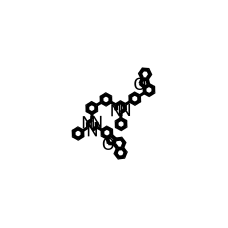 c1ccc(-c2nc(-c3ccc(-c4cccc5c4oc4ccccc45)cc3)cc(-c3cccc(-c4cccc(-c5nc(-c6ccccc6)nc(-c6ccc7c(c6)oc6c8ccccc8ccc76)n5)c4)c3)n2)cc1